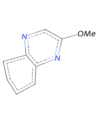 COc1cnc2ccccc2n1